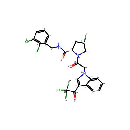 O=C(NCc1cccc(Cl)c1F)[C@@H]1C[C@@H](F)CN1C(=O)Cn1cc(C(=O)C(F)(F)F)c2ccccc21